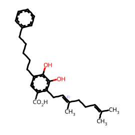 CC(C)=CCC/C(C)=C/Cc1c(C(=O)O)cc(CCCCCc2ccccc2)c(O)c1O